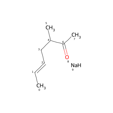 CC=CCC(C)C(C)=O.[NaH]